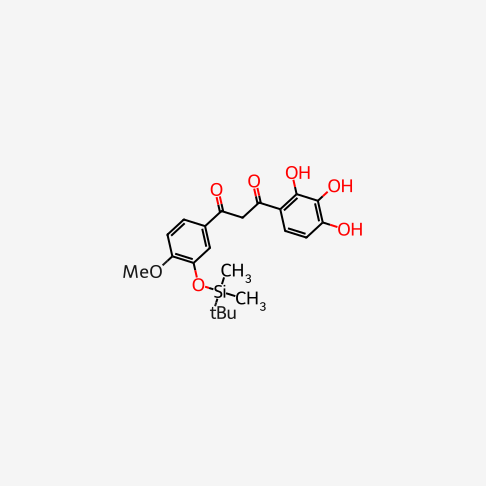 COc1ccc(C(=O)CC(=O)c2ccc(O)c(O)c2O)cc1O[Si](C)(C)C(C)(C)C